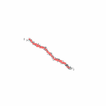 C=CC(=O)OCCOCCOCCOc1ccc(C(=O)Oc2ccc(C(=O)Oc3ccc(-c4ccc(C(=O)OCCOCCOCCOC(=O)CCC(=O)OCCOCCOCCOC(=O)c5ccc(-c6ccc(OC(=O)c7ccc(OC(=O)c8ccc(OCCOCCOCCOC(=O)C=C)cc8)cc7)cc6)cc5)cc4)cc3)cc2)cc1